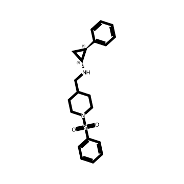 O=S(=O)(c1ccccc1)N1CCC(CN[C@@H]2C[C@H]2c2ccccc2)CC1